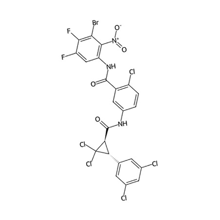 O=C(Nc1cc(F)c(F)c(Br)c1[N+](=O)[O-])c1cc(NC(=O)[C@H]2[C@H](c3cc(Cl)cc(Cl)c3)C2(Cl)Cl)ccc1Cl